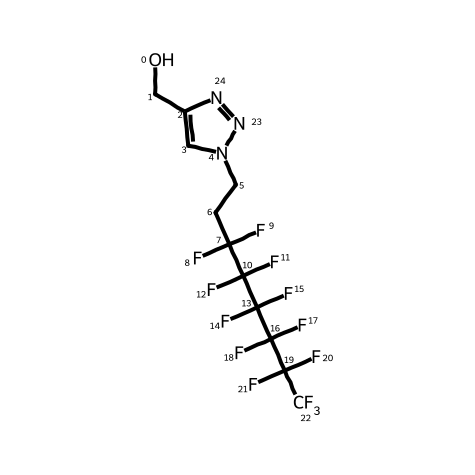 OCc1cn(CCC(F)(F)C(F)(F)C(F)(F)C(F)(F)C(F)(F)C(F)(F)F)nn1